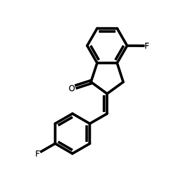 O=C1C(=Cc2ccc(F)cc2)Cc2c(F)cccc21